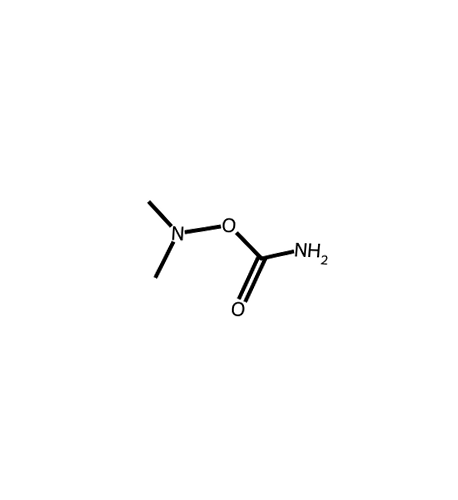 CN(C)OC(N)=O